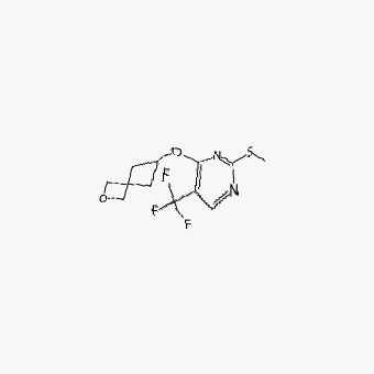 CSc1ncc(C(F)(F)F)c(OC2CC3(COC3)C2)n1